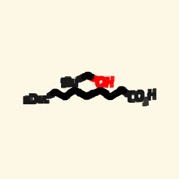 CC(C)(C)CO.CCCCCCCCCCCCCCCCCC(=O)O